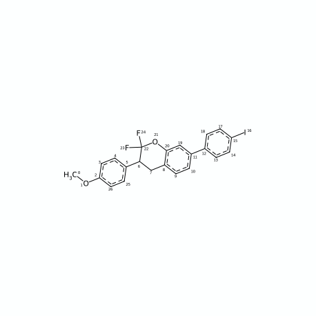 COc1ccc(C2Cc3ccc(-c4ccc(I)cc4)cc3OC2(F)F)cc1